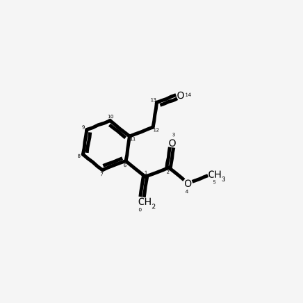 C=C(C(=O)OC)c1ccccc1CC=O